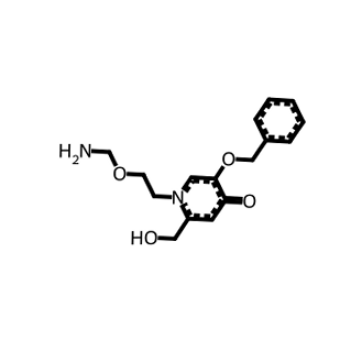 NCOCCn1cc(OCc2ccccc2)c(=O)cc1CO